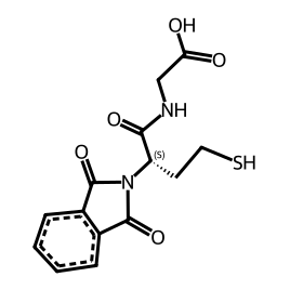 O=C(O)CNC(=O)[C@H](CCS)N1C(=O)c2ccccc2C1=O